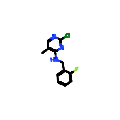 Cc1cnc(Cl)nc1NCc1ccccc1F